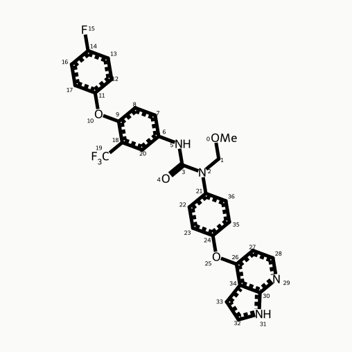 COCN(C(=O)Nc1ccc(Oc2ccc(F)cc2)c(C(F)(F)F)c1)c1ccc(Oc2ccnc3[nH]ccc23)cc1